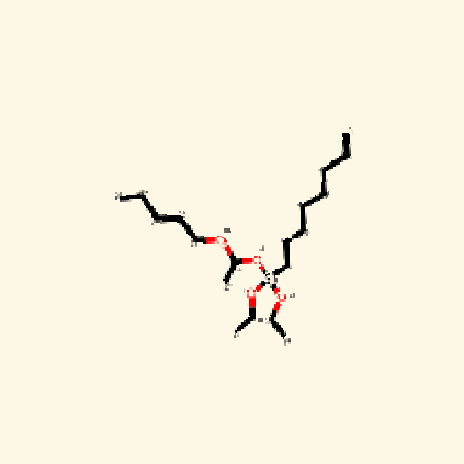 CCCCCCCC[Si](OCC)(OCC)OC(C)OCCCCC